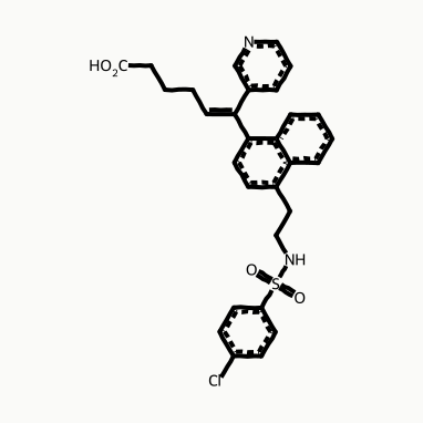 O=C(O)CCCC=C(c1cccnc1)c1ccc(CCNS(=O)(=O)c2ccc(Cl)cc2)c2ccccc12